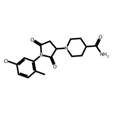 Cc1ccc(Cl)cc1N1C(=O)CC(N2CCC(C(N)=O)CC2)C1=O